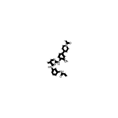 C=CC(=O)Nc1cccc(Nc2nc(Nc3ccc(C4CCN(C(C)=O)CC4)cc3OC)ncc2C)c1